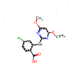 COc1cc(OC)nc([Se]c2cc(Br)ccc2C(=O)O)n1